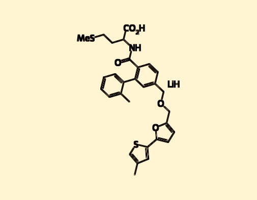 CSCCC(NC(=O)c1ccc(COCc2ccc(-c3cc(C)cs3)o2)cc1-c1ccccc1C)C(=O)O.[LiH]